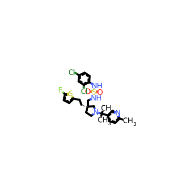 Cc1ccc(C(C)(C)N2CC[C@@](CCc3ccc(F)s3)(CNS(=O)(=O)Nc3ccc(Cl)cc3Cl)C2)cn1